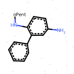 CCCCCNc1ccc(N)cc1-c1ccccc1